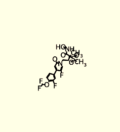 C[C@@](CCn1cc(F)c(-c2ccc(OC(F)F)c(F)c2)cc1=O)(C(=O)NO)S(C)(=O)=O